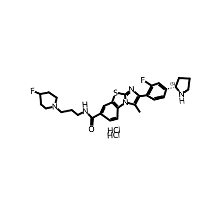 Cc1c(-c2ccc([C@@H]3CCCN3)cc2F)nc2sc3cc(C(=O)NCCCN4CCC(F)CC4)ccc3n12.Cl.Cl